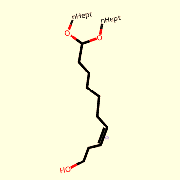 CCCCCCCOC(CCCCC/C=C\CCO)OCCCCCCC